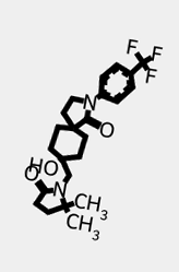 CC1(C)CCC(=O)N1CC1(O)CCC2(CCN(c3ccc(C(F)(F)F)cc3)C2=O)CC1